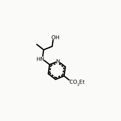 CCOC(=O)c1ccc(NC(C)CO)nc1